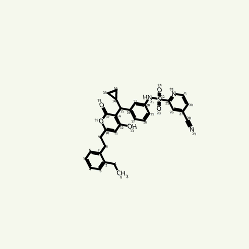 CCc1ccccc1CCc1cc(O)c(C(c2cccc(NS(=O)(=O)c3cc(C#N)ccn3)c2)C2CC2)c(=O)o1